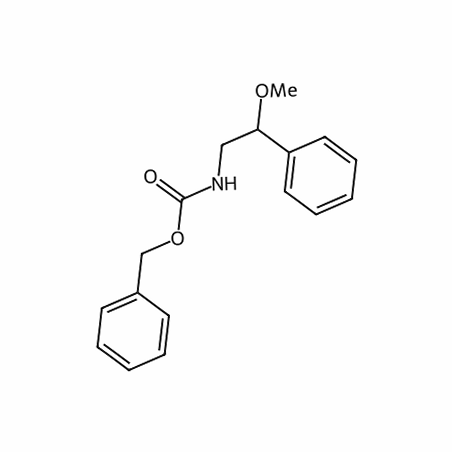 COC(CNC(=O)OCc1ccccc1)c1ccccc1